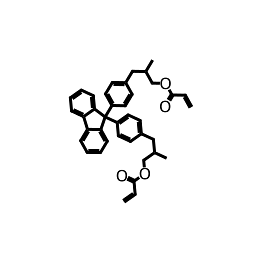 C=CC(=O)OCC(C)Cc1ccc(C2(c3ccc(CC(C)COC(=O)C=C)cc3)c3ccccc3-c3ccccc32)cc1